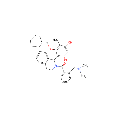 Cc1c(O)cc(O)c(C2c3ccccc3CCN2C(=O)c2ccccc2CN(C)C)c1OCC1CCCCC1